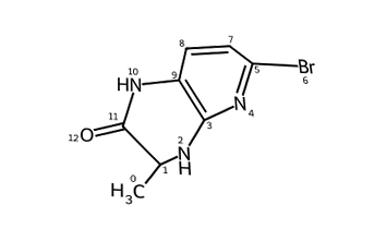 CC1Nc2nc(Br)ccc2NC1=O